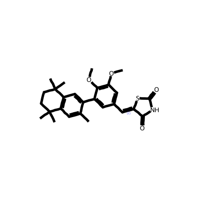 COc1cc(/C=C2\SC(=O)NC2=O)cc(-c2cc3c(cc2C)C(C)(C)CCC3(C)C)c1OC